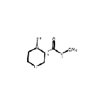 CONC(=O)[C@@H]1COCCN1C(C)C